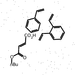 C=Cc1ccccc1.C=Cc1ccccc1C=C.CCCCOC(=O)C=CC(=O)O